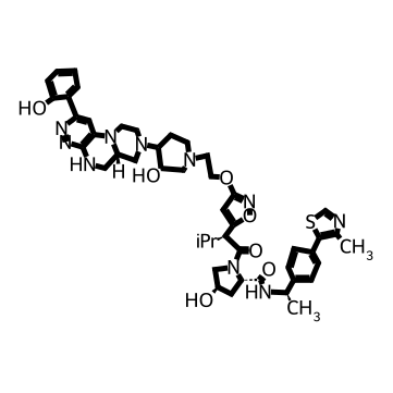 Cc1ncsc1-c1ccc([C@H](C)NC(=O)[C@@H]2C[C@@H](O)CN2C(=O)[C@@H](c2cc(OCCN3CCC(N4CCN5c6cc(-c7ccccc7O)nnc6NC[C@H]5C4)C(O)C3)no2)C(C)C)cc1